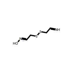 N=CCSSC/C=N/O